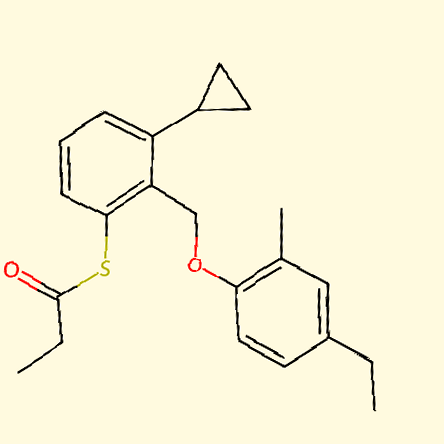 CCC(=O)Sc1cccc(C2CC2)c1COc1ccc(CC)cc1C